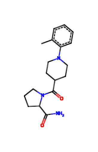 Cc1ccccc1N1CCC(C(=O)N2CCCC2C(N)=O)CC1